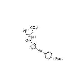 CCCCCc1ccc(C#Cc2ccc(C(=O)N[C@H](CC(=O)O)C[N+](C)(C)C)s2)cc1